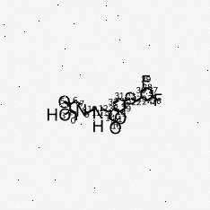 Cc1c(O)c(=O)ccn1CCNCc1cc(=O)oc2cc(OCc3cc(F)cc(F)c3)ccc12